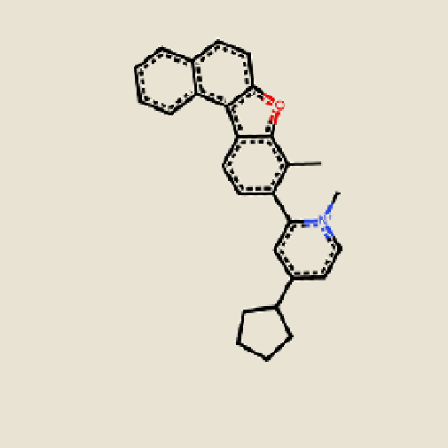 Cc1c(-c2cc(C3CCCC3)cc[n+]2C)ccc2c1oc1ccc3ccccc3c12